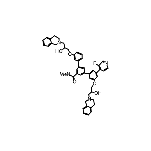 CNC(=O)c1cc(-c2cccc(OCC(O)CN3CCc4ccccc4C3)c2)cc(-c2cc(OCC(O)CN3CCc4ccccc4C3)cc(-c3ccncc3F)c2)c1